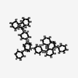 c1ccc(-c2nc(-c3ccc(-c4cccc5c(-c6ccccc6)nc6ccccc6c45)cc3)nc(-c3ccc(-n4c5ccccc5c5ccccc54)cc3)n2)cc1